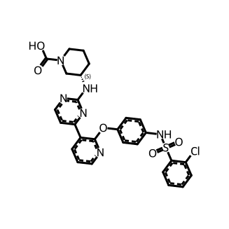 O=C(O)N1CCC[C@H](Nc2nccc(-c3cccnc3Oc3ccc(NS(=O)(=O)c4ccccc4Cl)cc3)n2)C1